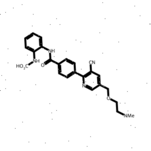 CNCCOCc1cnc(-c2ccc(C(=O)Nc3ccccc3NC(=O)O)cc2)c(C#N)c1